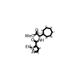 CCn1nccc1C(=O)N[C@H](C(=O)OC)C1CCCCCC1